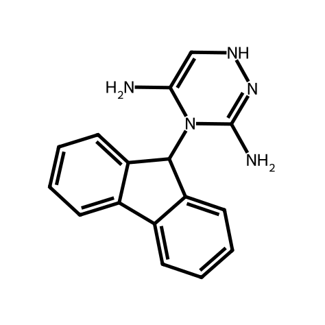 NC1=CNN=C(N)N1C1c2ccccc2-c2ccccc21